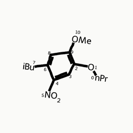 CCCOc1cc([N+](=O)[O-])c(C(C)CC)cc1OC